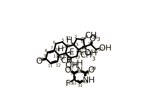 C[C@@H]1C[C@H]2[C@@H]3CCC4=CC(=O)C=C[C@]4(C)[C@@]3(F)[C@@H](O)C[C@]2(C)[C@@]1(O)C(=O)CO.O=c1[nH]cc(F)c(=O)[nH]1